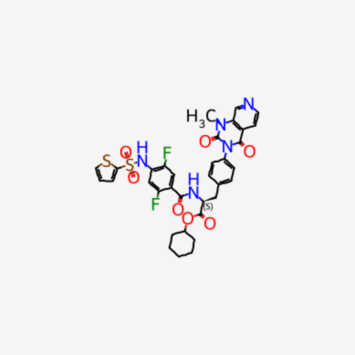 Cn1c(=O)n(-c2ccc(C[C@H](NC(=O)c3cc(F)c(NS(=O)(=O)c4cccs4)cc3F)C(=O)OC3CCCCC3)cc2)c(=O)c2ccncc21